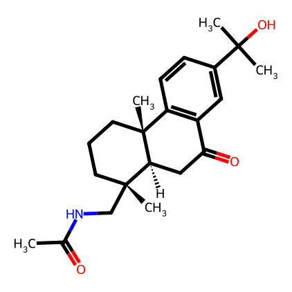 CC(=O)NC[C@]1(C)CCC[C@]2(C)c3ccc(C(C)(C)O)cc3C(=O)C[C@@H]12